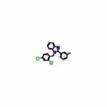 Cc1cccc(-c2nc3ccccc3n2Cc2ccc(Cl)cc2Cl)c1